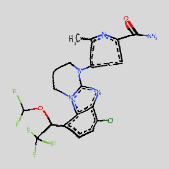 Cc1nc(C(N)=O)ccc1N1CCCn2c1nc1c(Cl)ccc(C(OC(F)F)C(F)(F)F)c12